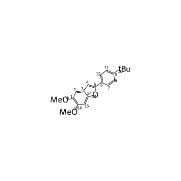 COc1cc2cc(-c3ccc(C(C)(C)C)cc3)oc2cc1OC